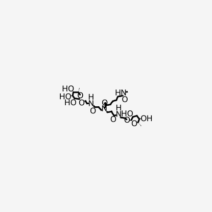 CNC(=O)CCCCC(=O)N(CCC(=O)NCCO[C@@H]1O[C@@H](C)[C@@H](O)[C@@H](O)[C@@H]1O)CCC(=O)NCCO[C@@H]1O[C@@H](C)[C@@H](O)C[C@@H]1O